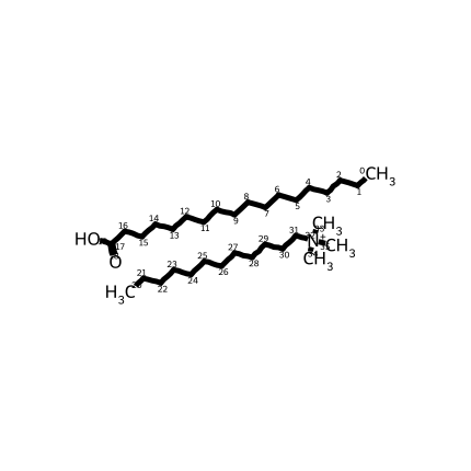 CCCCCCCCCCCCCCCCCC(=O)O.CCCCCCCCCCCC[N+](C)(C)C